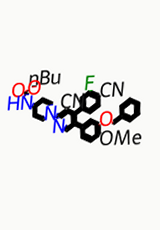 CCCCOC(=O)NC1CCN(c2ncc(-c3ccc(OC)c(OCc4ccccc4)c3)c(-c3ccc(C#N)c(F)c3)c2C#N)CC1